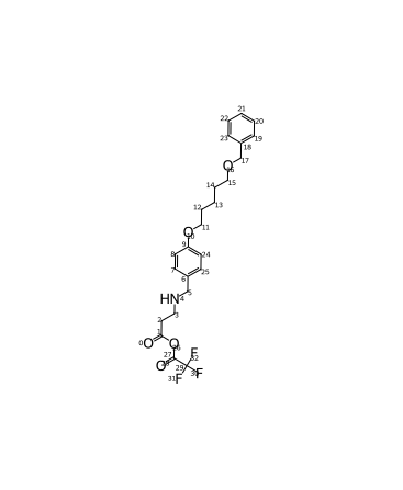 O=C(CCNCc1ccc(OCCCCCOCc2ccccc2)cc1)OC(=O)C(F)(F)F